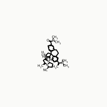 C=C(c1ccc2c(c1)CCc1cc(C(=O)N(C)C)ccc1C2(C[C@H](C)NCC(=C)N1CCCC1C#N)c1nnc[nH]1)N(C)C